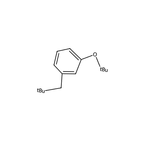 CC(C)(C)Cc1cccc(OC(C)(C)C)c1